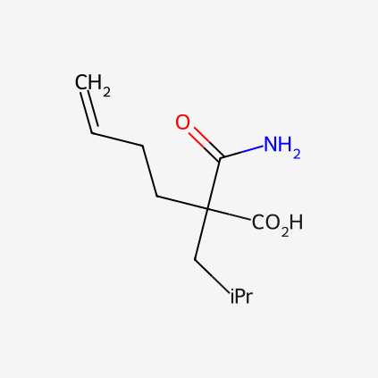 C=CCCC(CC(C)C)(C(N)=O)C(=O)O